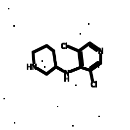 Clc1cncc(Cl)c1NC1CCCNC1